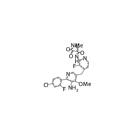 CNS(=O)(=O)S(=O)(=O)Nc1nccc(Cc2cnc(-c3ccc(Cl)cc3F)c(N)c2OC)c1F